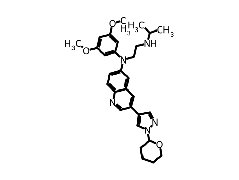 COc1cc(OC)cc(N(CCNC(C)C)c2ccc3ncc(-c4cnn(C5CCCCO5)c4)cc3c2)c1